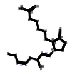 CC/C=C\CC(O)/C=C/[C@H]1CCC(=O)[C@@H]1CCCCCC(=O)O